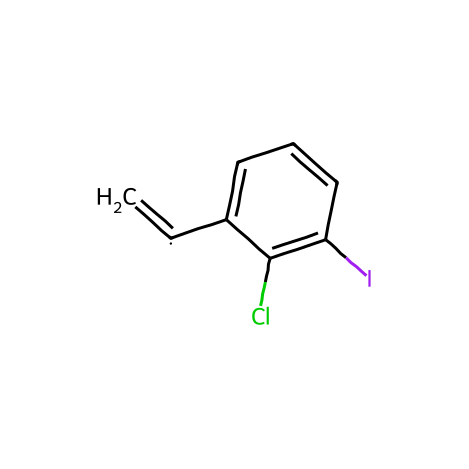 C=[C]c1cccc(I)c1Cl